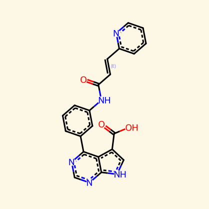 O=C(/C=C/c1ccccn1)Nc1cccc(-c2ncnc3[nH]cc(C(=O)O)c23)c1